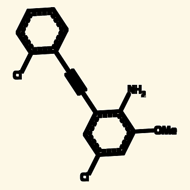 COc1cc(Cl)cc(C#Cc2ccccc2Cl)c1N